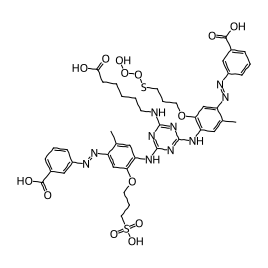 Cc1cc(Nc2nc(NCCCCCC(=O)O)nc(Nc3cc(C)c(N=Nc4cccc(C(=O)O)c4)cc3OCCCS(=O)(=O)O)n2)c(OCCCSOOO)cc1N=Nc1cccc(C(=O)O)c1